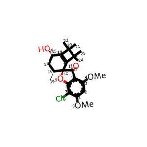 COc1cc(OC)c2c(c1Cl)O[C@]1(C2=O)C2=C([C@@H](O)C[C@H]1C)C(C)(C)C2(C)C